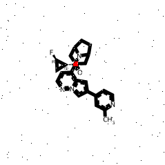 Cc1cc(-c2cc3c(N4CC5CCC(C4)N5C(=O)[C@@H]4C[C@H]4F)ccnn3c2)ccn1